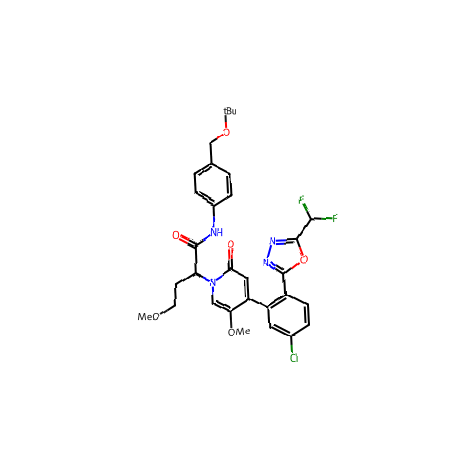 COCCC(C(=O)Nc1ccc(COC(C)(C)C)cc1)n1cc(OC)c(-c2cc(Cl)ccc2-c2nnc(C(F)F)o2)cc1=O